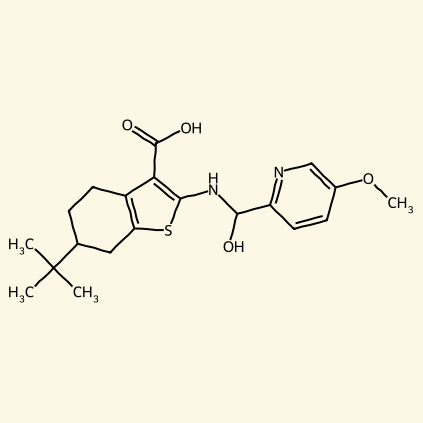 COc1ccc(C(O)Nc2sc3c(c2C(=O)O)CCC(C(C)(C)C)C3)nc1